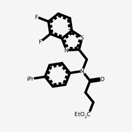 CCOC(=O)CCC(=O)N(Cc1nc2c(F)c(F)ccc2s1)c1ccc(C(C)C)cc1